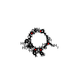 CC[C@@]12CCCN1C(=O)[C@H](Cc1ccc(O)cc1)NC(=O)[C@H](Cc1cnc[nH]1)NC(=O)[C@H](CC(=O)O)NC(=O)[C@H](Cc1c[nH]c3ccc(F)cc13)NC(=O)[C@H](Cc1c[nH]c3ccc(F)cc13)NC(=O)CNC(=O)[C@H](CCCCN)NC(=O)CCSCc1cccc(c1)CSC[C@@H](C(N)=O)NC2=O